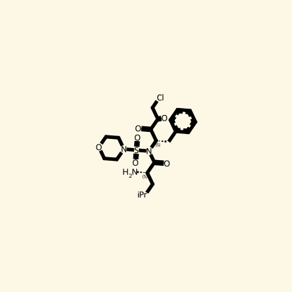 CC(C)C[C@H](N)C(=O)N([C@@H](Cc1ccccc1)C(=O)C(=O)CCl)S(=O)(=O)N1CCOCC1